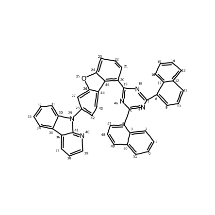 c1ccc2c(-c3nc(-c4cccc5ccccc45)nc(-c4cccc5oc6cc(-n7c8ccccc8c8cccnc87)ccc6c45)n3)cccc2c1